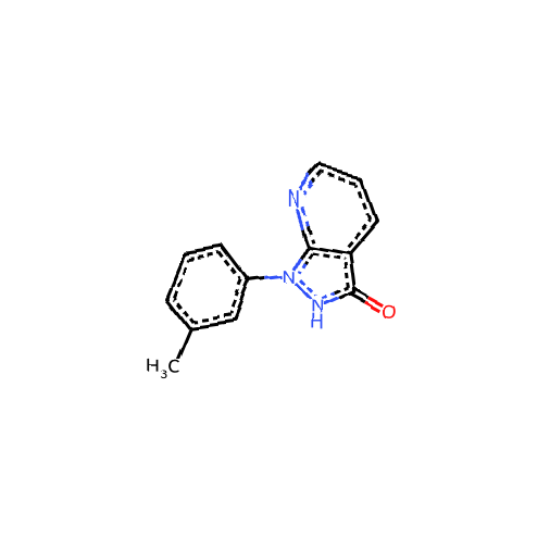 Cc1cccc(-n2[nH]c(=O)c3cccnc32)c1